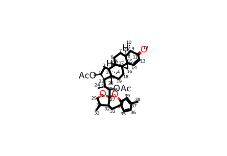 CC(=O)O[C@H]1C[C@@]2(C)[C@@H]3CC[C@H]4[C@H](C)C(=O)C=C[C@@]45C[C@@]35CC[C@]2(C)[C@H]1[C@H](C)[C@@H](OC(C)=O)C12OCC(C)C1Cc1ccc(C)cc1O2